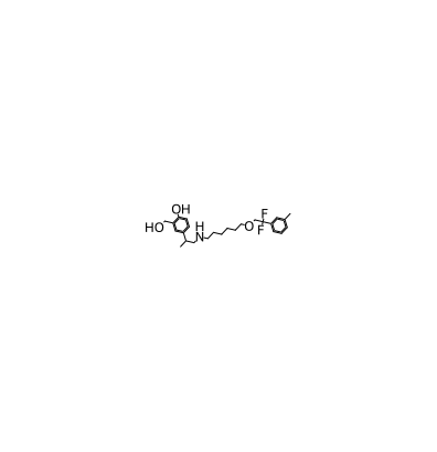 Cc1cccc(C(F)(F)COCCCCCCNCC(C)c2ccc(O)c(CO)c2)c1